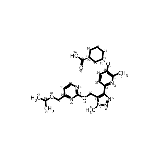 Cc1nc(-c2nnn(C)c2COc2nccc(COC(C)C)n2)ccc1O[C@H]1CCC[C@H](C(=O)O)C1